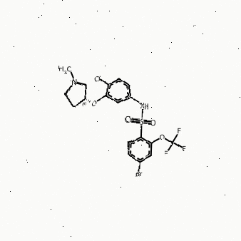 CN1CC[C@@H](Oc2cc(NS(=O)(=O)c3ccc(Br)cc3OC(F)(F)F)ccc2Cl)C1